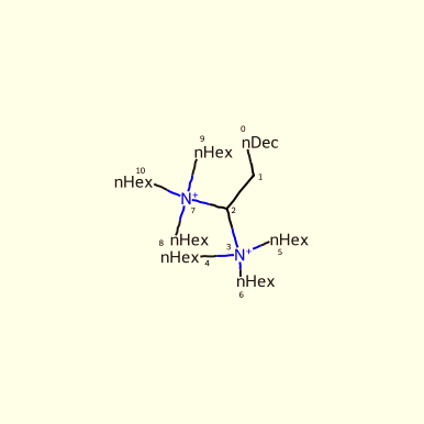 CCCCCCCCCCCC([N+](CCCCCC)(CCCCCC)CCCCCC)[N+](CCCCCC)(CCCCCC)CCCCCC